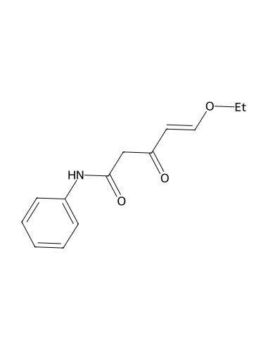 CCOC=CC(=O)CC(=O)Nc1ccccc1